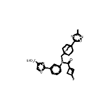 CCOC(=O)c1coc(-c2cccc(N(CC34CCC(c5nc(C)no5)(CC3)CC4)C(=O)C34CC(F)(C3)C4)c2)n1